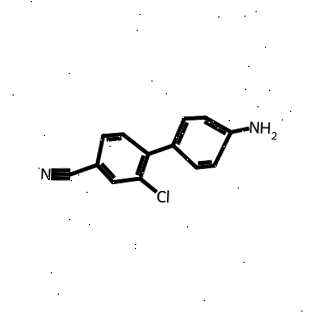 N#Cc1ccc(-c2ccc(N)cc2)c(Cl)c1